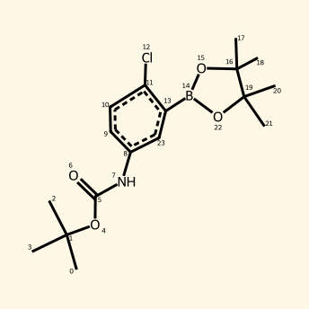 CC(C)(C)OC(=O)Nc1ccc(Cl)c(B2OC(C)(C)C(C)(C)O2)c1